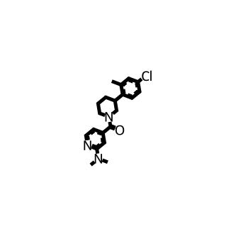 Cc1cc(Cl)ccc1C1CCCN(C(=O)c2ccnc(N(C)C)c2)C1